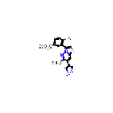 CCOC(=O)c1ccc(C#N)c(-c2cnc3cc(-c4cnn(C)c4)c(OC)nn23)c1